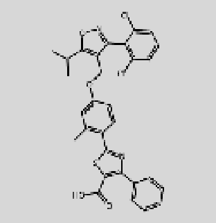 Cc1cc(OCc2c(-c3c(Cl)cccc3Cl)noc2C(C)C)ccc1-c1nc(-c2ccccc2)c(C(=O)O)s1